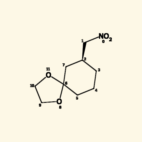 O=[N+]([O-])C[C@H]1CCCC2(C1)OCCO2